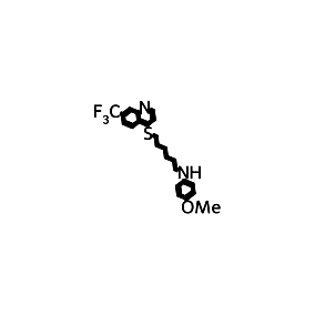 COc1ccc(NCCCCCCSc2ccnc3cc(C(F)(F)F)ccc23)cc1